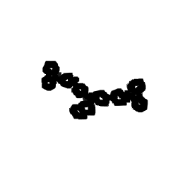 CC1(c2ccc(N(c3ccc(-c4ccc(-n5c6ccccc6c6ccccc65)cc4)cc3)c3ccc4ccccc4c3)cc2)C=CC(n2c3ccccc3c3ccccc32)=CC1